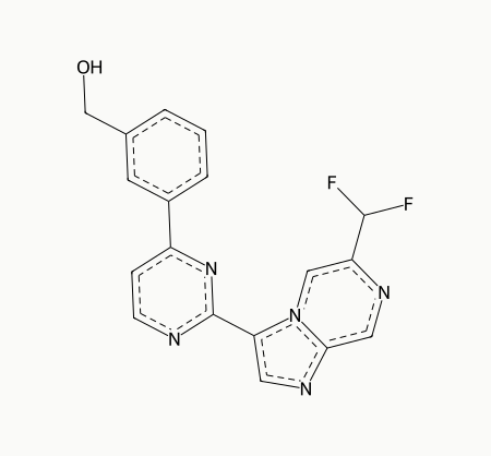 OCc1cccc(-c2ccnc(-c3cnc4cnc(C(F)F)cn34)n2)c1